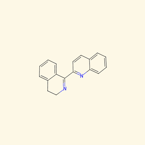 c1ccc2c(c1)CCN=C2c1ccc2ccccc2n1